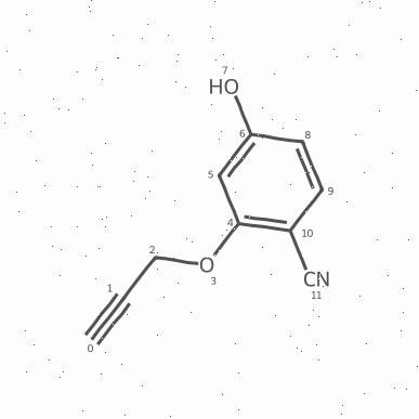 C#CCOc1cc(O)ccc1C#N